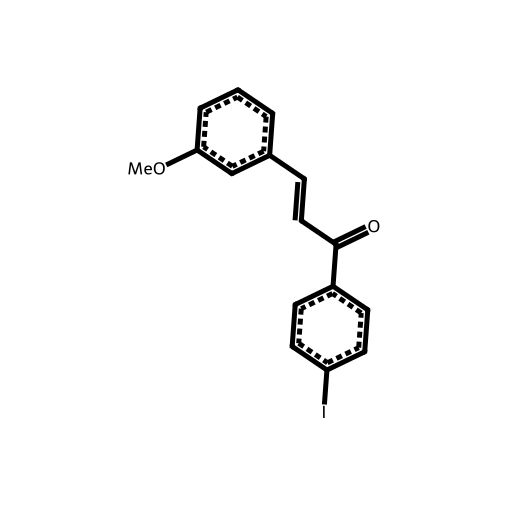 COc1cccc(C=CC(=O)c2ccc(I)cc2)c1